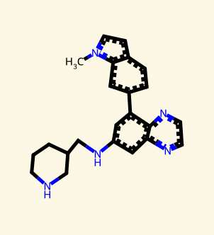 Cn1ccc2ccc(-c3cc(NCC4CCCNC4)cc4nccnc34)cc21